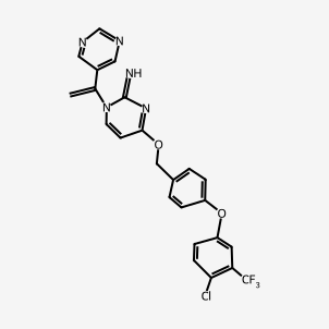 C=C(c1cncnc1)n1ccc(OCc2ccc(Oc3ccc(Cl)c(C(F)(F)F)c3)cc2)nc1=N